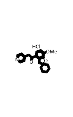 COc1ccc(C(=O)Cc2ccncc2)c2c1OC1(CCCCC1)C2.Cl